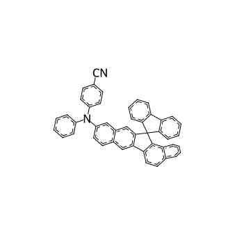 N#Cc1ccc(N(c2ccccc2)c2ccc3cc4c(cc3c2)C2(c3ccccc3-c3ccccc32)c2c-4ccc3ccccc23)cc1